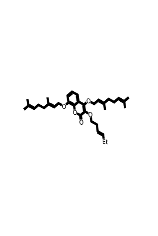 CCC=CCCOc1c(OC/C=C(\C)CCC=C(C)C)c2cccc(OC/C=C(\C)CCC=C(C)C)c2oc1=O